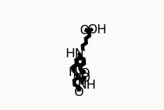 O=C(O)CCCCCNc1ccc2c(=O)n(C3CCC(=O)NC3=O)ncc2c1